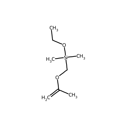 C=C(C)OC[Si](C)(C)OCC